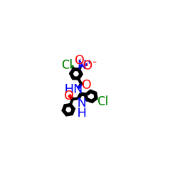 O=C(Nc1c(C(=O)c2ccccc2)[nH]c2cc(Cl)ccc12)c1ccc(Cl)c([N+](=O)[O-])c1